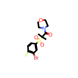 CC(C)(C(=O)N1CCOCC1)S(=O)(=O)c1ccc(F)c(Br)c1